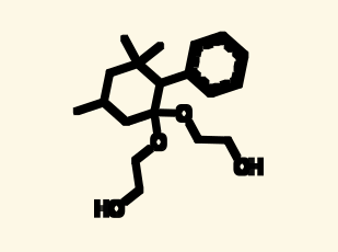 CC1CC(C)(C)C(c2ccccc2)C(OCCO)(OCCO)C1